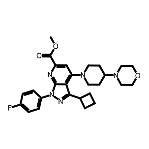 COC(=O)c1cc(N2CCC(N3CCOCC3)CC2)c2c(C3CCC3)nn(-c3ccc(F)cc3)c2n1